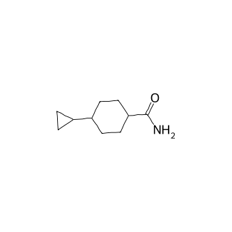 NC(=O)C1CCC(C2CC2)CC1